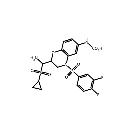 NC(C1CN(S(=O)(=O)c2ccc(F)c(F)c2)c2cc(NC(=O)O)ccc2O1)S(=O)(=O)C1CC1